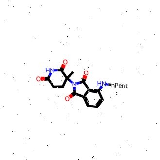 CCCCCNc1cccc2c1C(=O)N(C1(C)CCC(=O)NC1=O)C2=O